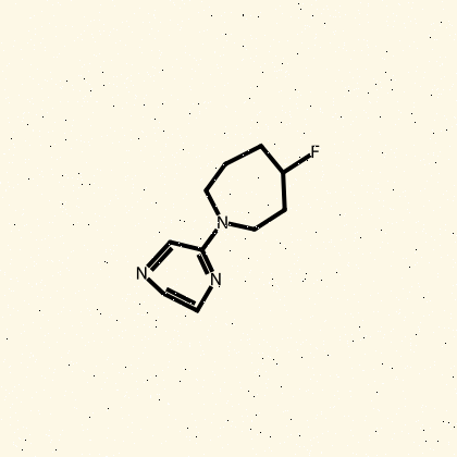 FC1CCCN(c2cnccn2)CC1